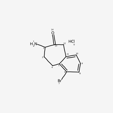 Cl.NC1CCc2c(Br)cccc2CC1=O